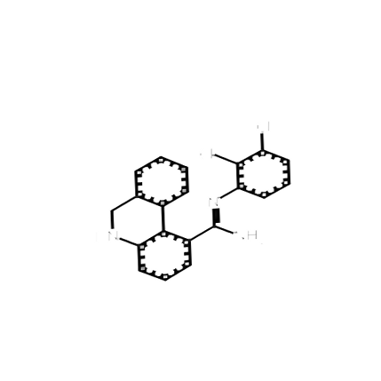 NC(=Nc1cccc(Cl)c1Cl)c1cccc2c1-c1ccccc1CN2